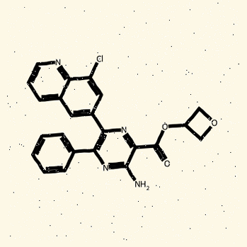 Nc1nc(-c2ccccc2)c(-c2cc(Cl)c3ncccc3c2)nc1C(=O)OC1COC1